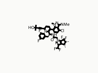 CNc1nn(C)c2c(-c3ccc(C#CC(C)(C)O)nc3[C@H](Cc3cc(F)cc(F)c3)NC(=O)Cn3nc(C(F)F)c4c3C(F)(F)[C@H](C)[C@@H]4C)ccc(Cl)c12